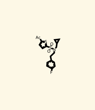 CC(=O)c1ccc(S(=O)(=O)N(CCc2ccc(F)cc2)CC2CC2)s1